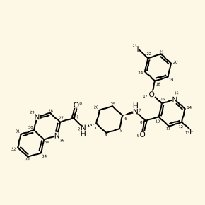 O=C(N[C@H]1CC[C@H](NC(=O)c2cc(F)cnc2Oc2cccc(I)c2)CC1)c1cnc2ccccc2n1